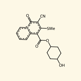 CSc1c(C#N)c(=O)n2ccccc2c1C(=O)OC1CCC(O)CC1